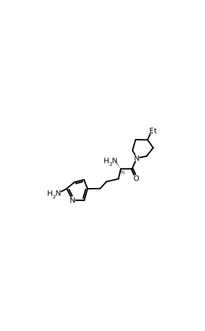 CCC1CCN(C(=O)[C@@H](N)CCCc2ccc(N)nc2)CC1